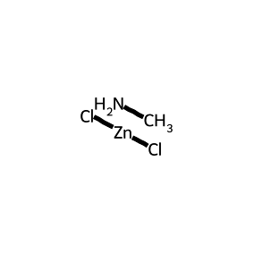 CN.[Cl][Zn][Cl]